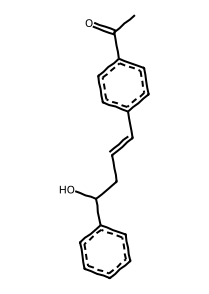 CC(=O)c1ccc(C=CCC(O)c2ccccc2)cc1